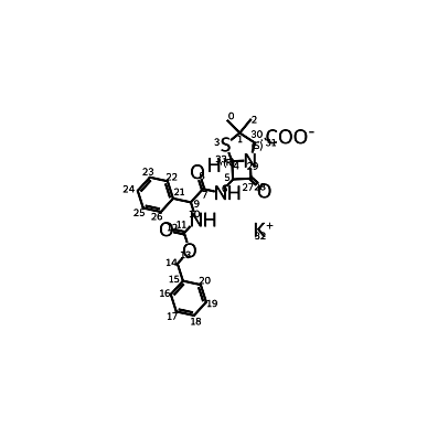 CC1(C)S[C@@H]2C(NC(=O)C(NC(=O)OCc3ccccc3)c3ccccc3)C(=O)N2[C@H]1C(=O)[O-].[K+]